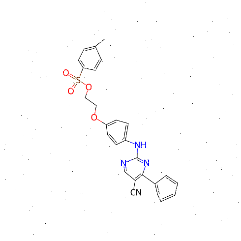 Cc1ccc(S(=O)(=O)OCCOc2ccc(Nc3ncc(C#N)c(-c4ccccc4)n3)cc2)cc1